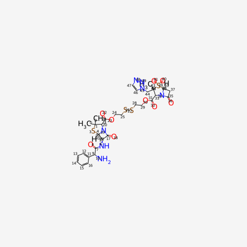 CC1(C)S[C@@H]2[C@H](NC(=O)C(N)c3ccccc3)C(=O)N2C1C(=O)OCCSSCCOC(=O)C1N2C(=O)C[C@@H]2S(=O)(=O)[C@@]1(C)Cn1ccnn1